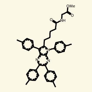 COC(=O)CNC(=O)CCCCc1c(-c2ccc(C)cc2)c2nc(-c3ccc(C)cc3)c(-c3ccc(C)cc3)nc2n1-c1ccc(C)cc1